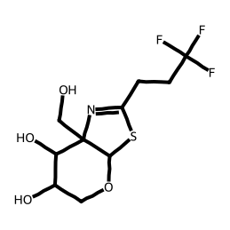 OCC12N=C(CCC(F)(F)F)SC1OCC(O)C2O